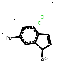 CC(C)c1ccc2c(c1)[CH]([Zr+2])C=C2.[Cl-].[Cl-]